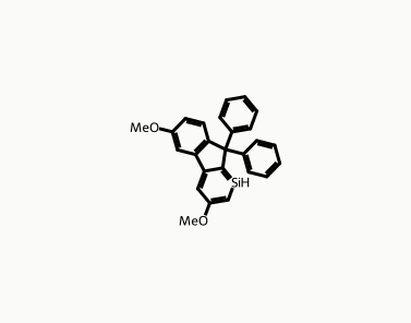 COc1ccc2c(c1)-c1cc(OC)c[siH]c1C2(c1ccccc1)c1ccccc1